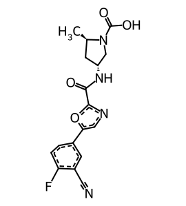 C[C@@H]1C[C@@H](NC(=O)c2ncc(-c3ccc(F)c(C#N)c3)o2)CN1C(=O)O